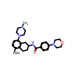 COc1ccc(N2CCN(C)CC2)c2c1CCC(NC(=O)c1ccc(N3CCOCC3)cc1)C2